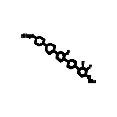 CCCCCCCC1CCC(C2CC=C(c3ccc(-c4ccc(-c5ccc(OCCCC)c(F)c5F)cc4)c(F)c3)CC2)CC1